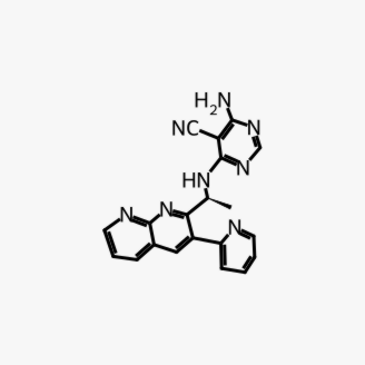 C[C@H](Nc1ncnc(N)c1C#N)c1nc2ncccc2cc1-c1ccccn1